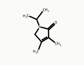 CC1=C(C)C(=O)N(C(C)C)C1